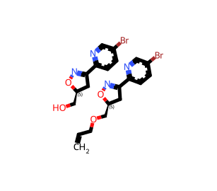 C=CCOC[C@@H]1CC(c2ccc(Br)cn2)=NO1.OC[C@@H]1CC(c2ccc(Br)cn2)=NO1